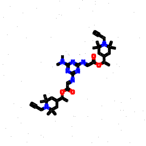 C#CCN1C(C)(C)CC(C(C)OC(=O)C=Nc2nc(N=CC(=O)OC(C)C3CC(C)(C)N(CC#C)C(C)(C)C3)nc(N(C)C)n2)CC1(C)C